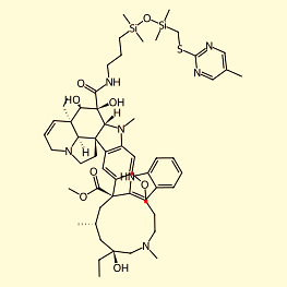 CC[C@]1(O)C[C@H](C)C[C@](C(=O)OC)(c2cc3c(cc2OC)N(C)[C@H]2[C@@](O)(C(=O)NCCC[Si](C)(C)O[Si](C)(C)CSc4ncc(C)cn4)[C@H](O)[C@]4(CC)C=CCN5CC[C@]32[C@@H]54)c2[nH]c3ccccc3c2CCN(C)C1